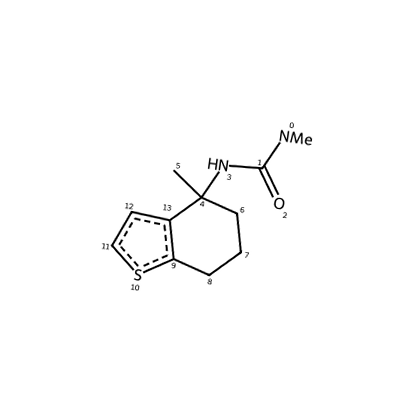 CNC(=O)NC1(C)CCCc2sccc21